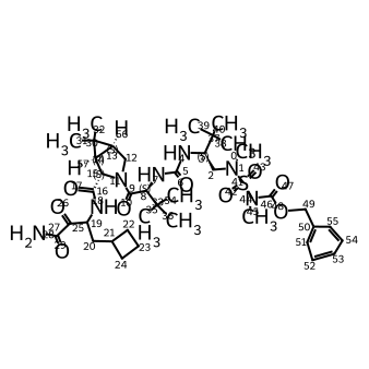 CN(C[C@@H](NC(=O)N[C@H](C(=O)N1C[C@H]2[C@@H]([C@H]1C(=O)NC(CC1CCC1)C(=O)C(N)=O)C2(C)C)C(C)(C)C)C(C)(C)C)S(=O)(=O)N(C)C(=O)OCc1ccccc1